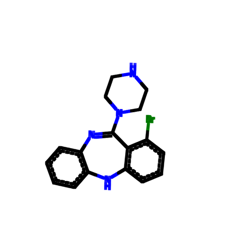 Brc1cccc2c1C(N1CCNCC1)=Nc1ccccc1N2